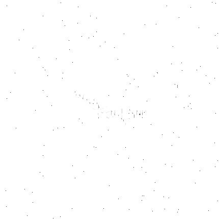 CN1CCN(c2ccc(S(=O)(=O)c3ccc(CNC(=O)c4cnc5[nH]ncc5c4)nc3)cn2)CC1